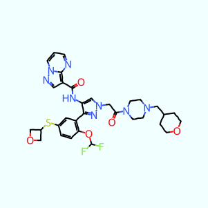 O=C(Nc1cn(CC(=O)N2CCN(CC3CCOCC3)CC2)nc1-c1cc(SC2COC2)ccc1OC(F)F)c1cnn2cccnc12